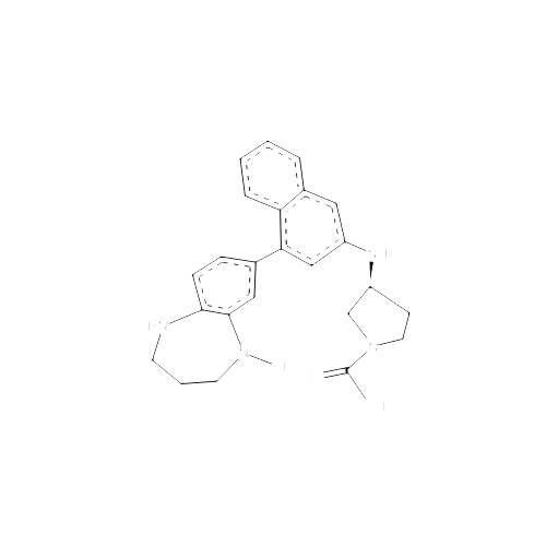 CC(=O)N1CC[C@H](Nc2cc(-c3ccc4c(c3)N(C)CCCN4)c3ccccc3c2)C1